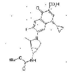 CC1C2C(CN1c1cc3c(cc1F)c(=O)c(C(=O)O)cn3C1CC1)C2NC(=O)OC(C)(C)C